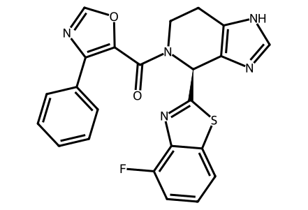 O=C(c1ocnc1-c1ccccc1)N1CCc2[nH]cnc2[C@H]1c1nc2c(F)cccc2s1